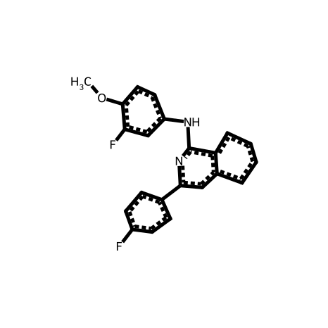 COc1ccc(Nc2nc(-c3ccc(F)cc3)cc3ccccc23)cc1F